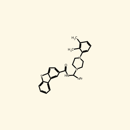 CCCC(NC(=O)c1ccc2sc3ccccc3c2c1)N1CCN(c2cccc(C)c2C)CC1